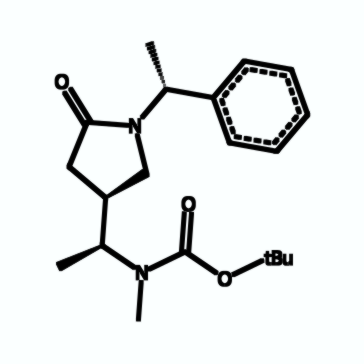 C[C@H](c1ccccc1)N1C[C@@H]([C@H](C)N(C)C(=O)OC(C)(C)C)CC1=O